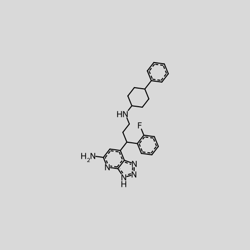 Nc1cc(C(CCNC2CCC(c3ccccc3)CC2)c2ccccc2F)c2nn[nH]c2n1